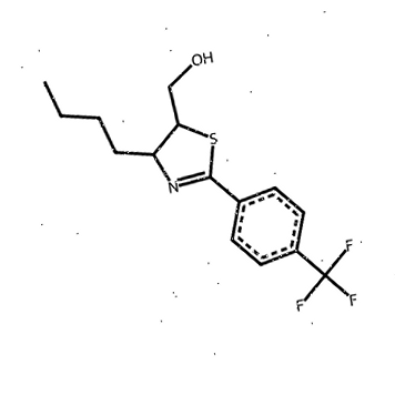 CCCCC1N=C(c2ccc(C(F)(F)F)cc2)SC1CO